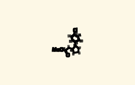 COC(=O)CC1CCCC1c1ccc(Cl)cc1